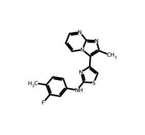 Cc1ccc(Nc2nc(-c3c(C)nc4ncccn34)cs2)cc1F